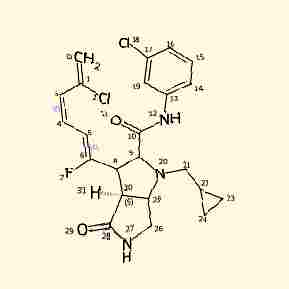 C=C(Cl)/C=C\C=C(/F)C1C(C(=O)Nc2cccc(Cl)c2)N(CC2CC2)C2CNC(=O)[C@@H]12